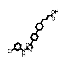 O=C(O)C=CCC1CCC(c2ccc(-c3cnc(Nc4cccc(Cl)c4)o3)cc2)CC1